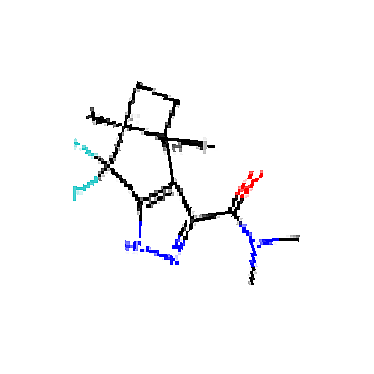 CN(C)C(=O)c1n[nH]c2c1[C@H]1CC[C@H]1C2(F)F